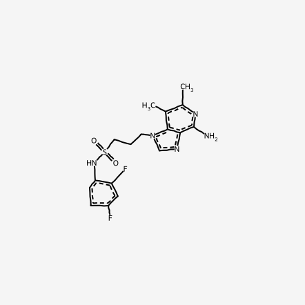 Cc1nc(N)c2ncn(CCCS(=O)(=O)Nc3ccc(F)cc3F)c2c1C